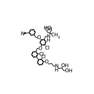 CC(CO)(CO)NCc1cc(Cl)c(OCc2cccc(-c3cccc(OCCCNCC(O)CO)c3Cl)c2Cl)cc1OCc1cccc(C#N)c1